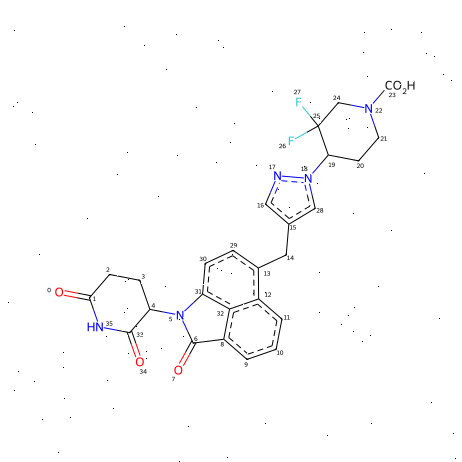 O=C1CCC(N2C(=O)c3cccc4c(Cc5cnn(C6CCN(C(=O)O)CC6(F)F)c5)ccc2c34)C(=O)N1